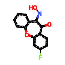 O=c1/c(=N/O)c2ccccc2oc2cc(F)ccc12